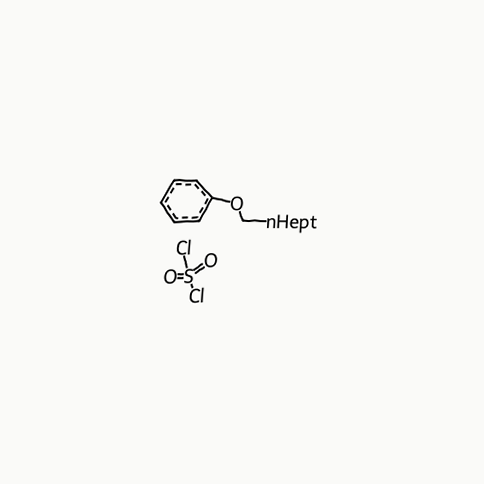 CCCCCCCCOc1ccccc1.O=S(=O)(Cl)Cl